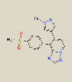 CCn1cc(-c2ccn3n[c]nc3c2-c2ccc(S(C)(=O)=O)cc2)cn1